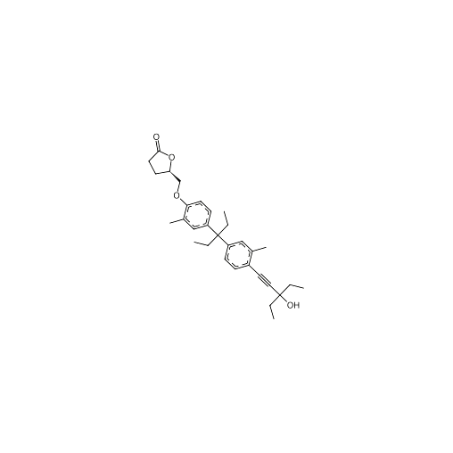 CCC(O)(C#Cc1ccc(C(CC)(CC)c2ccc(OC[C@H]3CCC(=O)O3)c(C)c2)cc1C)CC